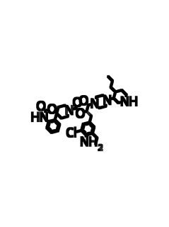 CCCC1CCNCC1N1CCN(C(=O)[C@@H](Cc2cc(Cl)c(N)c(CC)c2)OC(=O)N2CCC3(CC2)OC(=O)Nc2ccccc23)CC1